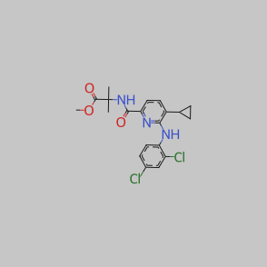 COC(=O)C(C)(C)NC(=O)c1ccc(C2CC2)c(Nc2ccc(Cl)cc2Cl)n1